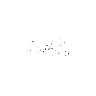 CCOCCC1(CCOCC)c2cc(C(=O)/C(CCSc3ccc(Cl)cc3)=N/OC(C)=O)ccc2-c2ccc(C(=O)/C(CCSc3ccc(Cl)cc3)=N/OC(C)=O)cc21